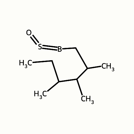 CCC(C)C(C)C(C)CB=S=O